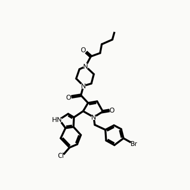 CCCCC(=O)N1CCN(C(=O)C2=CC(=O)N(Cc3ccc(Br)cc3)C2c2c[nH]c3cc(Cl)ccc23)CC1